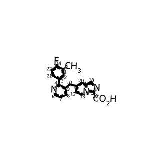 Cc1cc(-c2ncccc2Cc2ccn3c(C(=O)O)ncc3c2)ccc1F